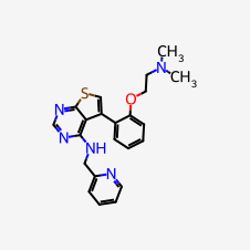 CN(C)CCOc1ccccc1-c1csc2ncnc(NCc3ccccn3)c12